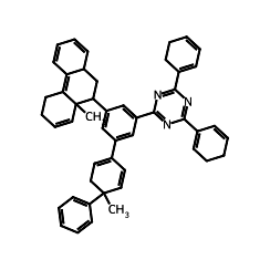 CC1(c2ccccc2)C=CC(c2cc(-c3nc(C4=CCCC=C4)nc(C4=CC=CCC4)n3)cc(C3CC4C=CC=CC4=C4CCC=CC43C)c2)=CC1